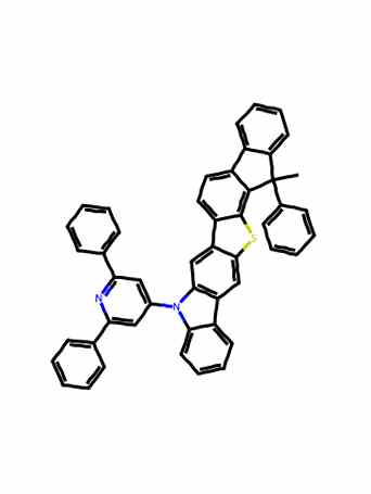 CC1(c2ccccc2)c2ccccc2-c2ccc3c(sc4cc5c6ccccc6n(-c6cc(-c7ccccc7)nc(-c7ccccc7)c6)c5cc43)c21